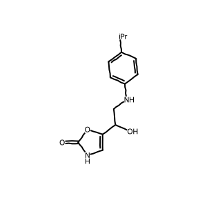 CC(C)c1ccc(NCC(O)c2c[nH]c(=O)o2)cc1